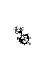 CN1CC2CN(C(=O)OC(C)(C)C)CC1CC2(F)F